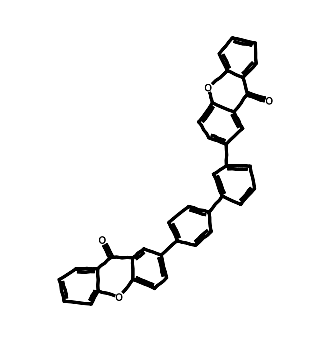 O=c1c2ccccc2oc2ccc(-c3ccc(-c4cccc(-c5ccc6oc7ccccc7c(=O)c6c5)c4)cc3)cc12